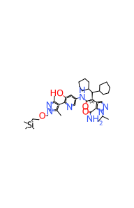 Cc1nn(COCC[Si](C)(C)C)c(C)c1-c1ncc(NC(=O)[C@H](c2cnn(C(C)C)c2C(N)=O)C(C2CCCCC2)C2CCCCC2)cc1O